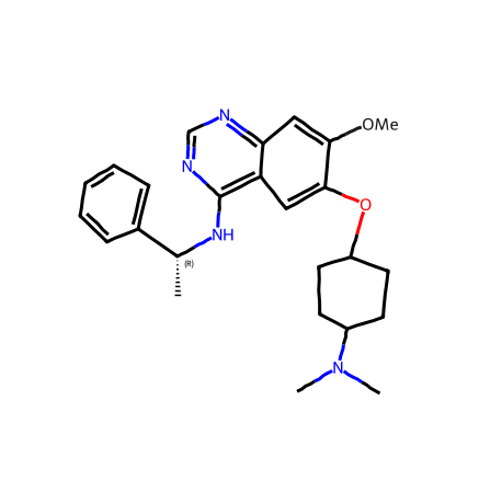 COc1cc2ncnc(N[C@H](C)c3ccccc3)c2cc1OC1CCC(N(C)C)CC1